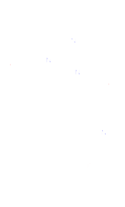 c1cc(OCCN2CCOCC2)nc(N2CCOCC2)n1